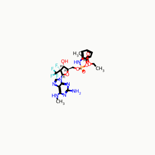 CCOC(=O)[C@@H](C)N[P@@](=O)(OC[C@H]1O[C@@H](n2cnc3c(NC)nc(N)nc32)[C@@](F)(C(F)(F)F)[C@@H]1O)Oc1ccccc1